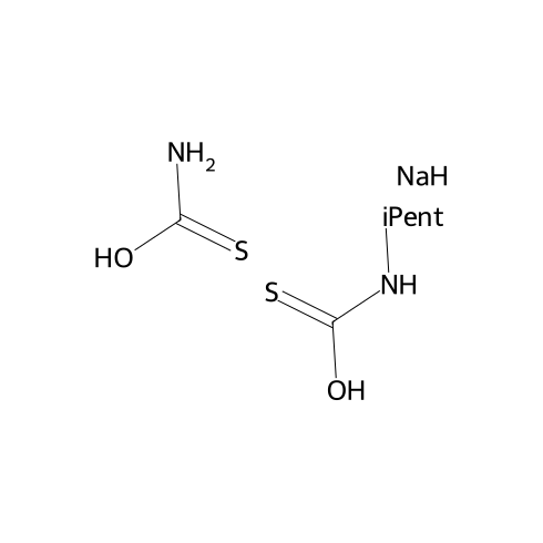 CCCC(C)NC(O)=S.NC(O)=S.[NaH]